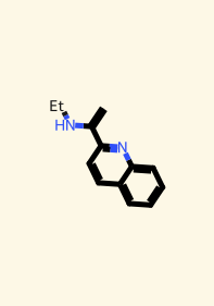 C=C(NCC)c1ccc2ccccc2n1